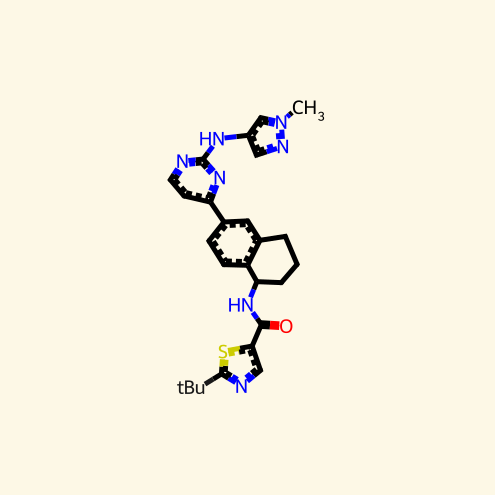 Cn1cc(Nc2nccc(-c3ccc4c(c3)CCCC4NC(=O)c3cnc(C(C)(C)C)s3)n2)cn1